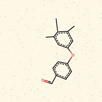 Cc1cc(Oc2ccc(C=O)cc2)cc(C)c1C